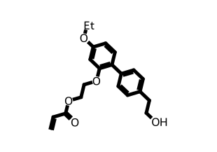 C=CC(=O)OCCOc1cc(OCC)ccc1-c1ccc(CCO)cc1